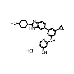 Cl.N#Cc1ccnc(Nc2cc(C3CC3)cc(-c3ccc4nc([C@H]5CC[C@H](O)CC5)[nH]c4c3)n2)c1